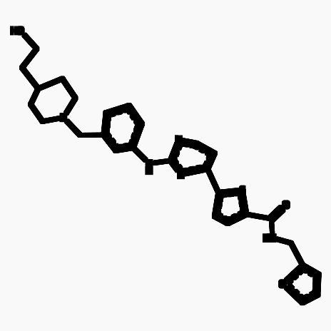 O=C(NCc1ccco1)c1ccc(-c2ccnc(Nc3cccc(CN4CCC(CCO)CC4)c3)n2)s1